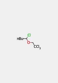 CCCCC(Cl)OCC(Cl)(Cl)Cl